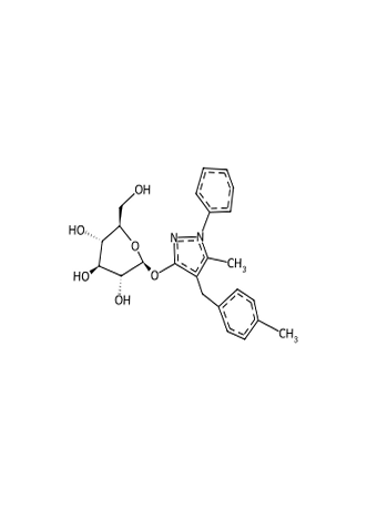 Cc1ccc(Cc2c(O[C@@H]3O[C@H](CO)[C@@H](O)[C@H](O)[C@H]3O)nn(-c3ccccc3)c2C)cc1